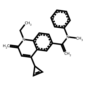 C=C(c1ccc2c(c1)C(C1C=C1)=CC(=C)N2CC)N(C)c1ccccc1